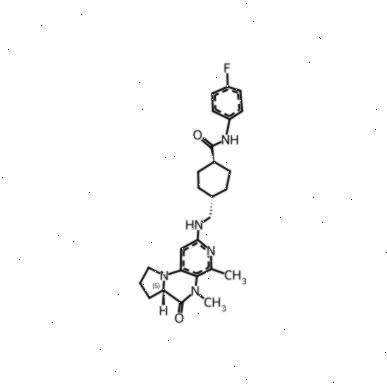 Cc1nc(NC[C@H]2CC[C@H](C(=O)Nc3ccc(F)cc3)CC2)cc2c1N(C)C(=O)[C@@H]1CCCN21